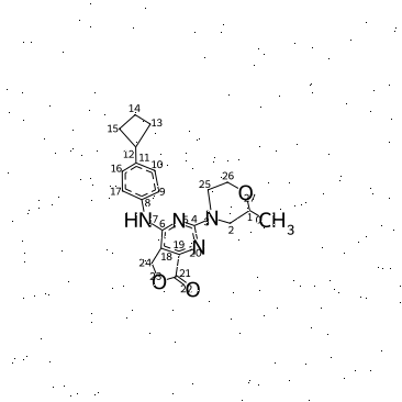 CC1CN(c2nc(Nc3ccc(C4CCC4)cc3)c3c(n2)C(=O)OC3)CCO1